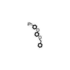 CC(C)c1ccc(Oc2cccc(OCCc3ccccc3)c2)cc1